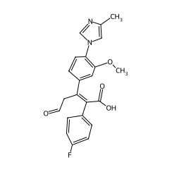 COc1cc(C(CC=O)=C(C(=O)O)c2ccc(F)cc2)ccc1-n1cnc(C)c1